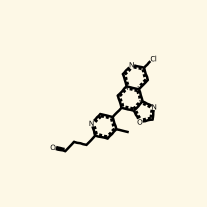 Cc1cc(CCC=O)ncc1-c1cc2cnc(Cl)cc2c2ncoc12